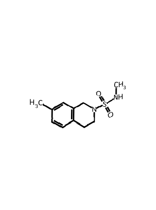 CNS(=O)(=O)N1CCc2ccc(C)cc2C1